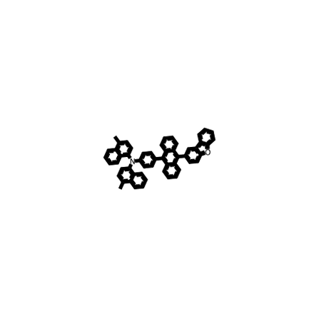 Cc1ccc(N(c2ccc(-c3c4ccccc4c(-c4ccc5oc6ccccc6c5c4)c4ccccc34)cc2)c2ccc(C)c3ccccc23)c2ccccc12